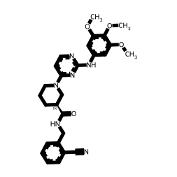 COc1cc(Nc2nccc(N3CCC[C@H](C(=O)NCc4ccccc4C#N)C3)n2)cc(OC)c1OC